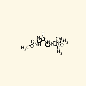 CCOC(=O)Nc1cnc2[nH]cc(-c3cccc(N4C[C@@H](C)N(C(C)=O)[C@@H](C)C4)n3)c2c1